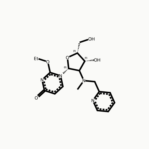 CCOc1nc(=O)ccn1[C@@H]1O[C@H](CO)[C@H](O)C1N(C)Cc1ccccn1